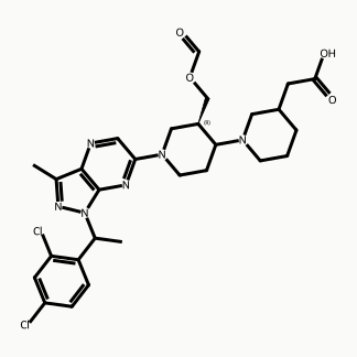 Cc1nn(C(C)c2ccc(Cl)cc2Cl)c2nc(N3CCC(N4CCCC(CC(=O)O)C4)[C@H](COC=O)C3)cnc12